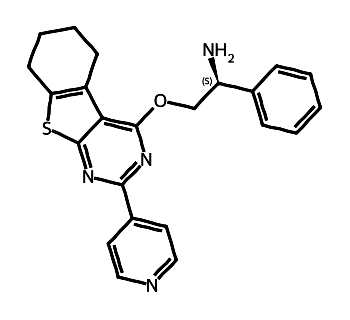 N[C@H](COc1nc(-c2ccncc2)nc2sc3c(c12)CCCC3)c1ccccc1